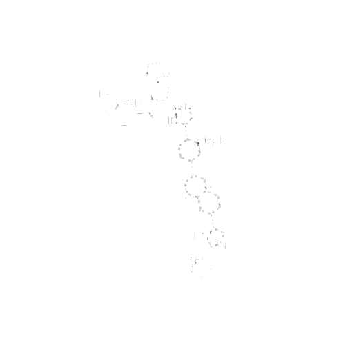 CC(C)[C@H](NC(=O)O)C(=O)N1CC2(C[C@H]1c1ncc(-c3ccc(-c4ccc5cc(-c6cnc([C@@H]7CCCN7)[nH]6)ccc5c4)cc3)[nH]1)OCCO2.Cl.Cl.Cl